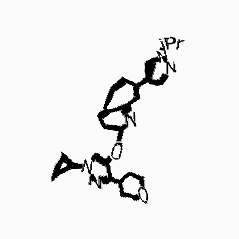 CC(C)n1cc(-c2ccc3ccc(Oc4cn(C5CC5)nc4C4CCOCC4)nc3c2)cn1